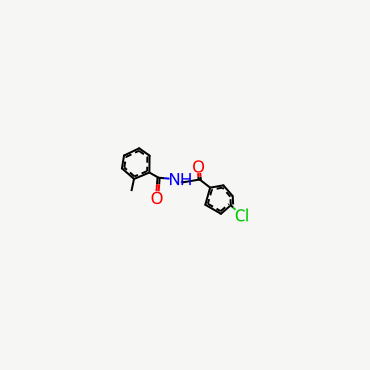 Cc1ccccc1C(=O)NCC(=O)c1ccc(Cl)cc1